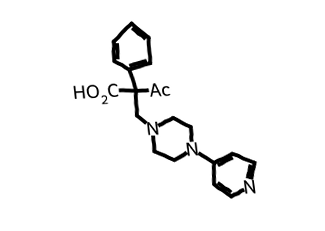 CC(=O)C(CN1CCN(c2ccncc2)CC1)(C(=O)O)c1ccccc1